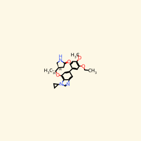 CCOc1cc(-c2cc(O[C@H](C)[C@H]3CNC(=O)C3)c3c(c2)ncn3C2CC2)ccc1OC